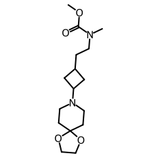 COC(=O)N(C)CCC1CC(N2CCC3(CC2)OCCO3)C1